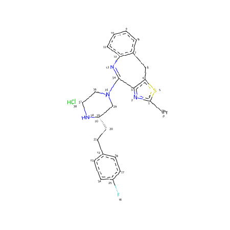 CC(C)c1nc2c(s1)Cc1ccccc1N=C2N1CCN[C@@H](CCc2ccc(F)cc2)C1.Cl